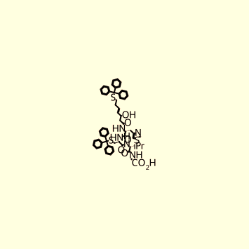 CC(C)[C@@H](NC(=O)[C@@H](CSC(c1ccccc1)(c1ccccc1)c1ccccc1)NC(=O)[C@@H](Cc1cscn1)NC(=O)C[C@H](O)/C=C/CCSC(c1ccccc1)(c1ccccc1)c1ccccc1)C(=O)NCC(=O)O